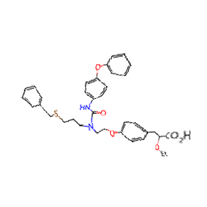 CCOC(Cc1ccc(OCCN(CCCSCc2ccccc2)C(=O)Nc2ccc(Oc3ccccc3)cc2)cc1)C(=O)O